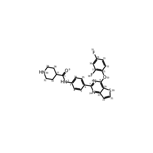 O=C(Nc1ccc(-c2nc(Oc3ccc(F)cc3F)c3sccc3n2)cc1)C1CCNCC1